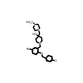 O=C(O)N1CCN(CC2(O)CCN(Cc3cc(Br)ccc3OCc3ccc(Cl)cc3)CC2)CC1